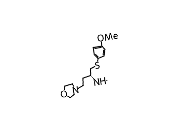 COc1ccc(SC[C@H]([NH])CCN2CCOCC2)cc1